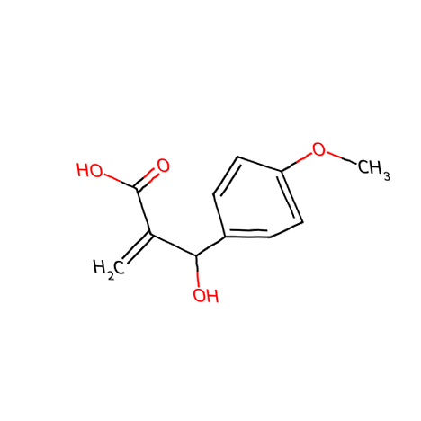 C=C(C(=O)O)C(O)c1ccc(OC)cc1